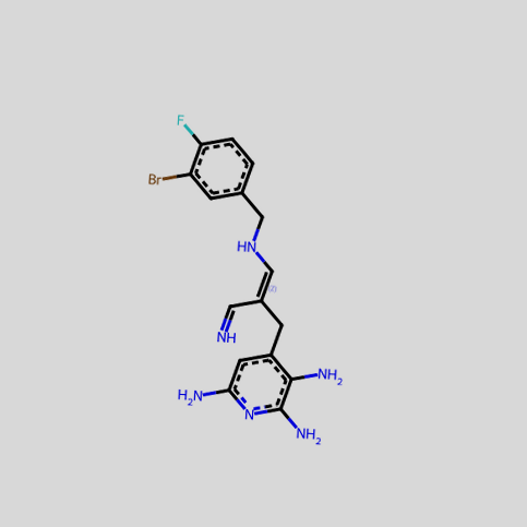 N=C/C(=C\NCc1ccc(F)c(Br)c1)Cc1cc(N)nc(N)c1N